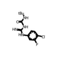 CC(C)(C)NC(=O)NC(=N)Nc1ccc(Cl)c(F)c1